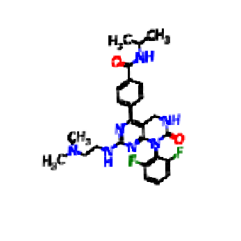 CC(C)NC(=O)c1ccc(-c2nc(NCCN(C)C)nc3c2CNC(=O)N3c2c(F)cccc2F)cc1